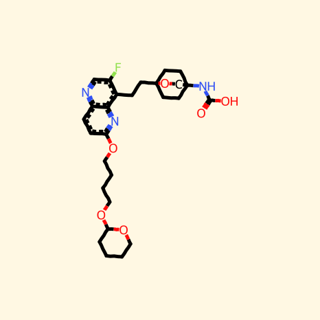 O=C(O)NC12CCC(CCc3c(F)cnc4ccc(OCCCCOC5CCCCO5)nc34)(CC1)OC2